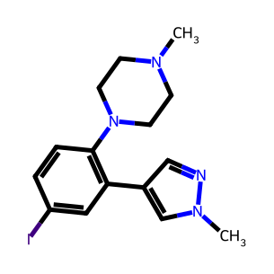 CN1CCN(c2ccc(I)cc2-c2cnn(C)c2)CC1